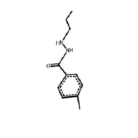 CCCNNC(=O)c1ccc(C)cc1